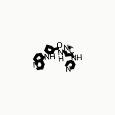 O=C(Nc1cc(Nc2ccncc2)ccn1)c1cccc(Nc2cccc3ncccc23)c1